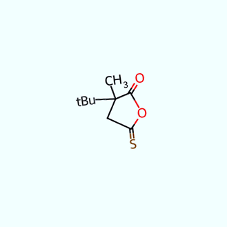 CC(C)(C)C1(C)CC(=S)OC1=O